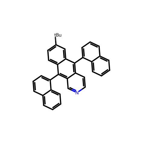 CC(C)(C)c1ccc2c(-c3cccc4ccccc34)c3cnccc3c(-c3cccc4ccccc34)c2c1